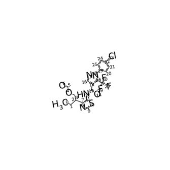 CCC(COC=O)c1ncsc1NC(=O)c1cnn(-c2ccc(Cl)cc2)c1C(F)(F)F